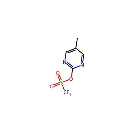 Cc1cnc(OS(=O)(=O)C(F)(F)F)nc1